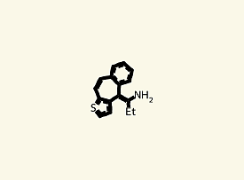 CC/C(N)=C1/c2ccccc2C=Cc2sccc21